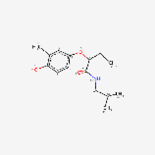 CCC(Oc1ccc(O)c(C)c1)C(=O)NCC(C)C